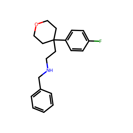 Fc1ccc(C2(CCNCc3ccccc3)CCOCC2)cc1